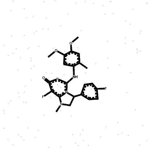 COc1cc(C)c(Nc2nc(=O)c(F)c3n2C(c2ccc(F)cc2)CN3C)cc1OC